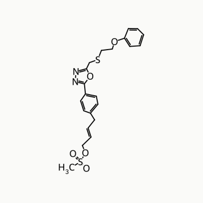 CS(=O)(=O)OC/C=C/Cc1ccc(-c2nnc(CSCCOc3ccccc3)o2)cc1